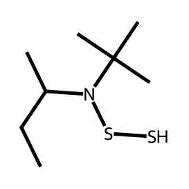 CCC(C)N(SS)C(C)(C)C